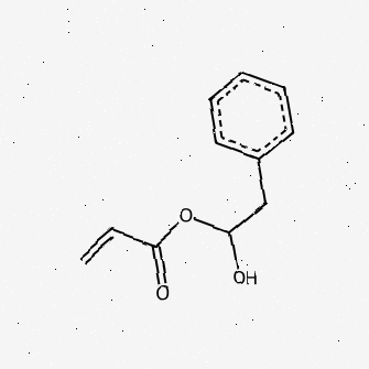 C=CC(=O)OC(O)Cc1ccccc1